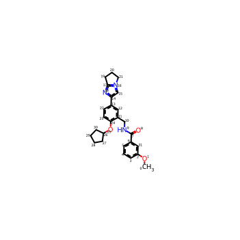 COc1cccc(C(=O)NCc2cc(-c3cn4c(n3)CCC4)ccc2OC2CCCC2)c1